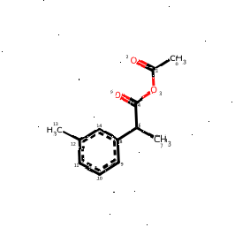 CC(=O)OC(=O)C(C)c1cccc(C)c1